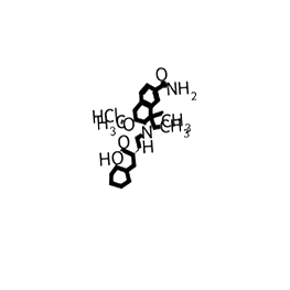 CCC1(CC)c2cc(C(N)=O)ccc2C[C@@H](OC)[C@H]1NCC[C@H](CC1CCCCC1)C(=O)O.Cl